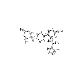 Cc1ocnc1C(=O)Nc1cc(C#N)ccc1N1CCC(Oc2ccc(F)cc2F)CC1